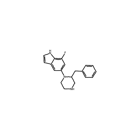 Fc1cc(N2CCNCC2Cc2ccccc2)cc2cc[nH]c12